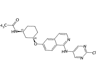 CC(=O)N[C@H]1CCC[C@@H](Oc2ccc3c(Nc4cnc(Cl)nc4)nccc3c2)C1